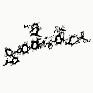 CC(C)c1ccccc1C1CCCN1C1CC2(CCN(c3ccc(C(=O)NS(=O)(=O)c4ccc(NCC5CCN(C(=O)O)CC5)c(S(=O)(=O)C(F)(F)F)c4)c(Oc4cnc5[nH]ccc5c4)c3)CC2)C1